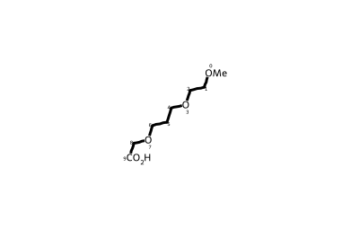 COCCOCCCOCC(=O)O